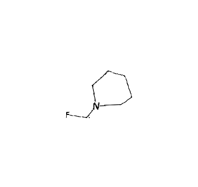 F[CH]N1CCCCC1